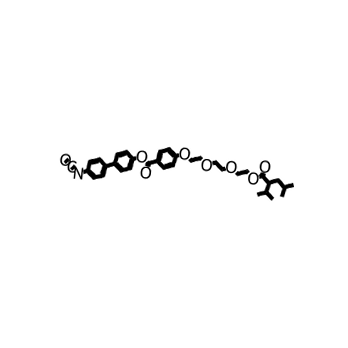 CC(C)CC(C(=O)OCCOCCOCCOc1ccc(C(=O)Oc2ccc(-c3ccc(N=C=O)cc3)cc2)cc1)C(C)C